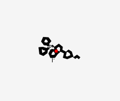 CCC[C@H]1CC[C@H]([C@H]2CC[C@H](C[P+](c3ccccc3)(c3ccccc3)c3ccccc3)CC2)CC1.[I-]